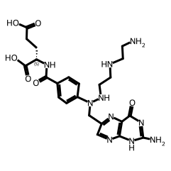 NCCNCCNN(Cc1cnc2[nH]c(N)nc(=O)c2n1)c1ccc(C(=O)N[C@@H](CCC(=O)O)C(=O)O)cc1